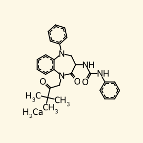 CC(C)(C)C(=O)CN1C(=O)C(NC(=O)Nc2ccccc2)CN(c2ccccc2)c2ccccc21.[CaH2]